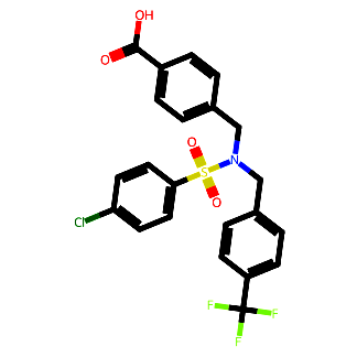 O=C(O)c1ccc(CN(Cc2ccc(C(F)(F)F)cc2)S(=O)(=O)c2ccc(Cl)cc2)cc1